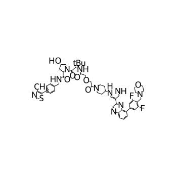 Cc1ncsc1-c1ccc(CNC(=O)C2CC(O)CN2C(=O)[C@@H](NC(=O)COCC(=O)N2CCC(N/C=C(\C=N)c3cnc4cccc(-c5cc(F)c(CN6CCOCC6)c(F)c5)c4n3)CC2)C(C)(C)C)cc1